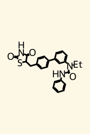 CCN(C(=O)Nc1ccccc1)c1cccc(-c2ccc(CC3SC(=O)NC3=O)cc2)c1